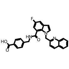 O=C(O)c1ccc(CNC(=O)c2cc(F)cc3ccn(Cc4ccc5ccccc5n4)c23)cc1